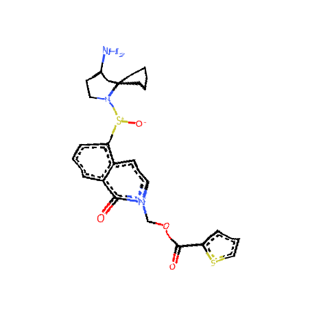 NC1CCN([S+]([O-])c2cccc3c(=O)n(COC(=O)c4cccs4)ccc23)C12CC2